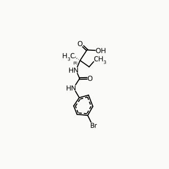 CC[C@@](C)(NC(=O)Nc1ccc(Br)cc1)C(=O)O